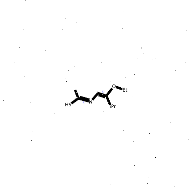 CCO/C(=C/N=C(\C)S)C(C)C